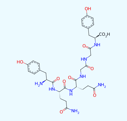 NC(=O)CC[C@H](NC(=O)[C@H](CCC(N)=O)NC(=O)[C@@H](N)Cc1ccc(O)cc1)C(=O)NCC(=O)NCC(=O)N[C@@H](Cc1ccc(O)cc1)C(=O)O